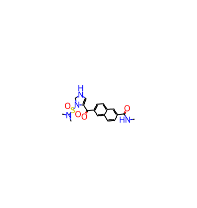 CNC(=O)c1ccc2cc(C(=O)C3=CNCN3S(=O)(=O)N(C)C)ccc2c1